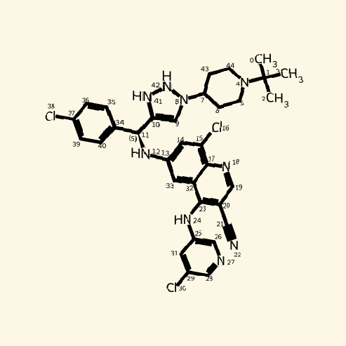 CC(C)(C)N1CCC(N2C=C([C@@H](Nc3cc(Cl)c4ncc(C#N)c(Nc5cncc(Cl)c5)c4c3)c3ccc(Cl)cc3)NN2)CC1